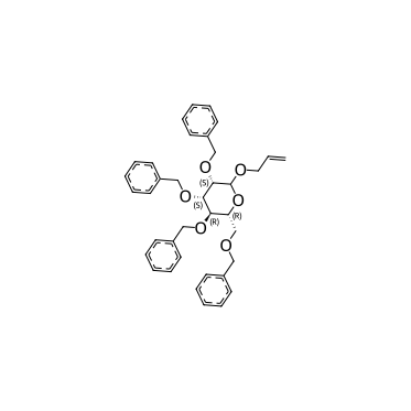 C=CCOC1O[C@H](COCc2ccccc2)[C@@H](OCc2ccccc2)[C@H](OCc2ccccc2)[C@@H]1OCc1ccccc1